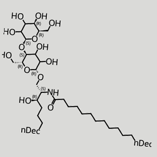 CCCCCCCCCCCCCCCCCCCCCC(=O)N[C@@H](CO[C@@H]1O[C@H](CO)[C@@H](O[C@@H]2O[C@H](CO)[C@H](O)C(O)C2O)C(O)C1O)[C@H](O)CCCCCCCCCCCCC